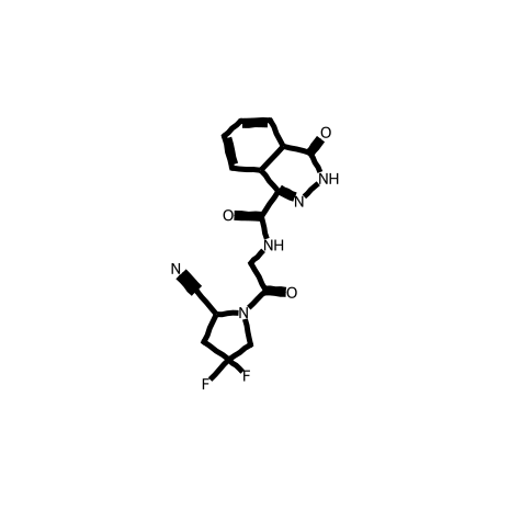 N#CC1CC(F)(F)CN1C(=O)CNC(=O)C1=NNC(=O)C2C=CC=CC12